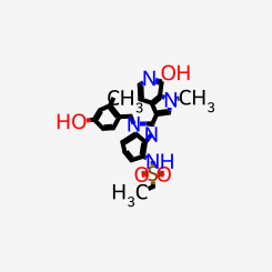 CCS(=O)(=O)Nc1cccc2c1nc(-c1cn(C)c3c(O)nccc13)n2Cc1ccc(O)cc1C